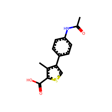 CC(=O)Nc1ccc(-c2csc(C(=O)O)c2C)cc1